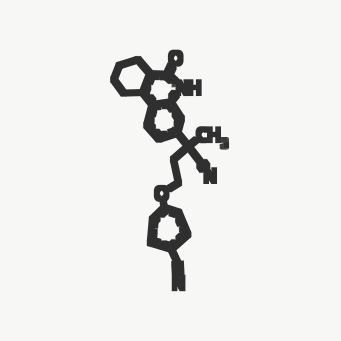 CC(C#N)(CCOc1ccc(C#N)cc1)c1ccc2c3c(c(=O)[nH]c2c1)CCCC3